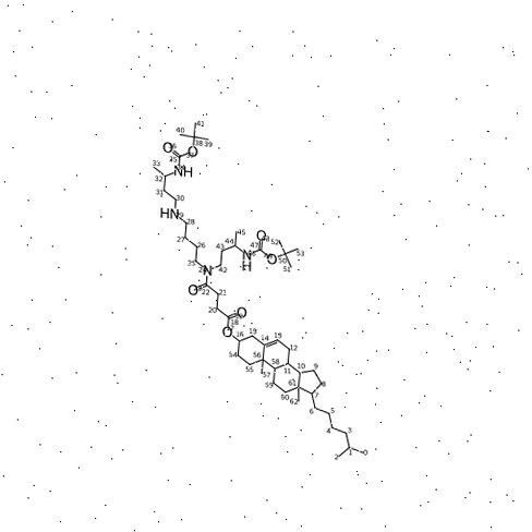 CC(C)CCCCC1CCC2C3CC=C4CC(OC(=O)CCC(=O)N(CCCCNCCC(C)NC(=O)OC(C)(C)C)CCC(C)NC(=O)OC(C)(C)C)CCC4(C)C3CCC12C